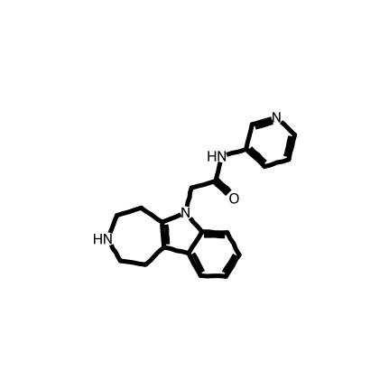 O=C(Cn1c2c(c3ccccc31)CCNCC2)Nc1cccnc1